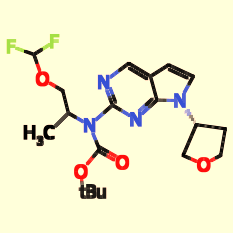 CC(COC(F)F)N(C(=O)OC(C)(C)C)c1ncc2ccn([C@@H]3CCOC3)c2n1